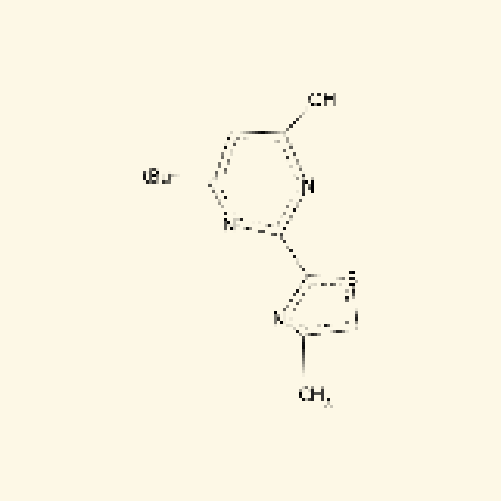 Cc1csc(-c2nc(O)cc(C(C)(C)C)n2)n1